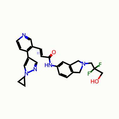 O=C(/C=C/c1cnccc1-c1cnn(C2CC2)c1)Nc1ccc2c(c1)CN(CC(F)(F)CO)C2